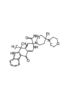 CCC1(N2CCOCC2)CCN(C2(C(N)=O)C=C3C(=CN2)C(=O)c2c([nH]c4ccccc24)C3(C)C)CC1